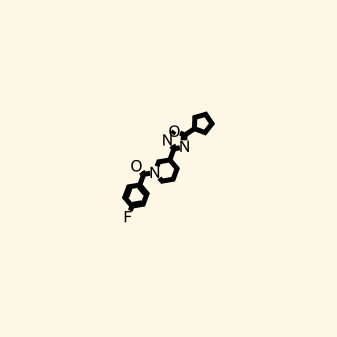 O=C(c1ccc(F)cc1)N1CCCC(c2noc(C3CCCC3)n2)C1